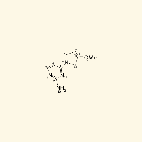 CO[C@H]1CCN(c2ccnc(N)n2)C1